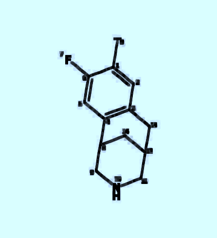 [C]c1cc2c(cc1F)C1CNCC(C2)C1